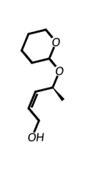 C[C@@H](/C=C\CO)OC1CCCCO1